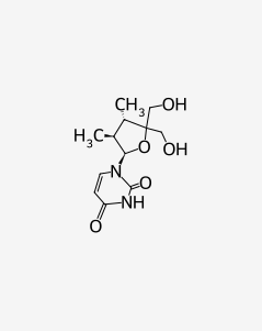 C[C@@H]1[C@H](n2ccc(=O)[nH]c2=O)OC(CO)(CO)[C@H]1C